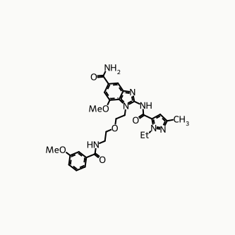 CCn1nc(C)cc1C(=O)Nc1nc2cc(C(N)=O)cc(OC)c2n1CCOCCNC(=O)c1cccc(OC)c1